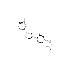 CCn1cc(-n2cc(-c3ccc(NS(=O)(=O)C4CC4)cc3Cl)cn2)ccc1=O